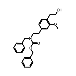 COc1cc(CCN(Cc2ccccc2)C(=O)OCc2ccccc2)ccc1CCO